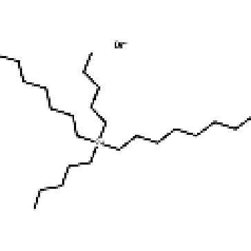 CCCCCCCC[P+](CCCCC)(CCCCC)CCCCCCCC.[Br-]